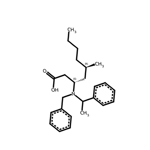 CCCC[C@@H](C)C[C@@H](CC(=O)O)N(Cc1ccccc1)C(C)c1ccccc1